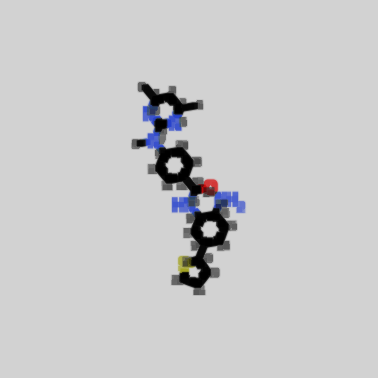 Cc1cc(C)nc(N(C)c2ccc(C(=O)Nc3cc(-c4cccs4)ccc3N)cc2)n1